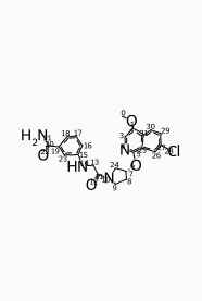 COc1cnc(O[C@@H]2CCN(C(=O)CNc3cccc(C(N)=O)c3)C2)c2cc(Cl)ccc12